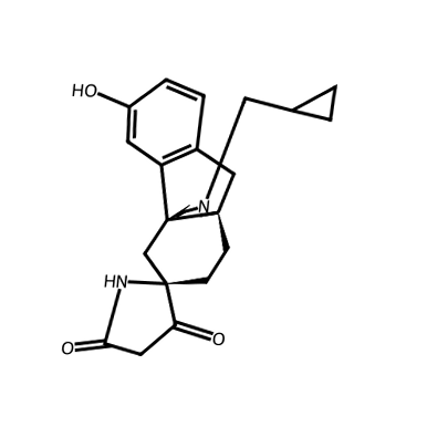 O=C1CC(=O)[C@]2(CC[C@@]34Cc5ccc(O)cc5[C@@]3(CCN(CC3CC3)C4)C2)N1